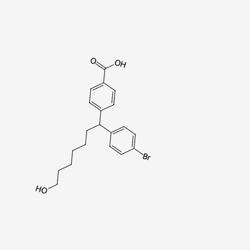 O=C(O)c1ccc(C(CCCCCCO)c2ccc(Br)cc2)cc1